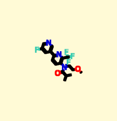 COCCN(C(=O)C(C)C)c1ccc(-c2cncc(F)c2)nc1C(F)(F)F